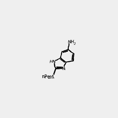 CCCCCc1nc2ccc(N)cc2[nH]1